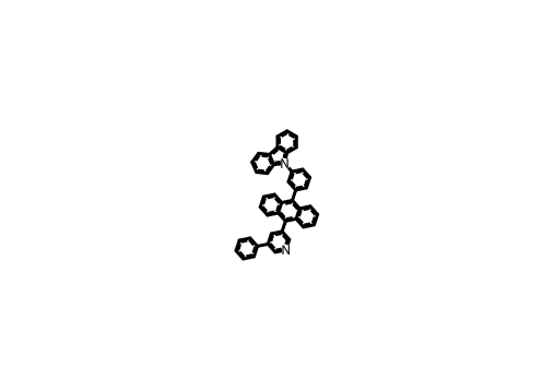 c1ccc(-c2cncc(-c3c4ccccc4c(-c4cccc(-n5c6ccccc6c6ccccc65)c4)c4ccccc34)c2)cc1